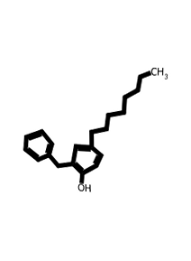 CCCCCCCCc1ccc(O)c(Cc2ccccc2)c1